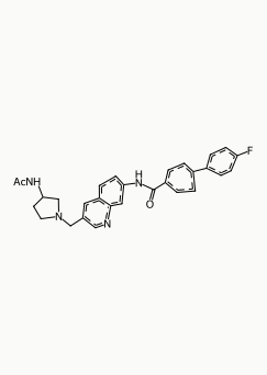 CC(=O)NC1CCN(Cc2cnc3cc(NC(=O)c4ccc(-c5ccc(F)cc5)cc4)ccc3c2)C1